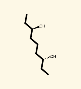 CC[C@@H](O)CCC[C@H](O)CC